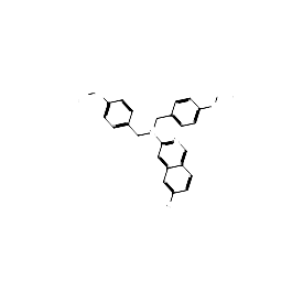 COc1ccc(CN(Cc2ccc(OC)cc2)c2cc3cc(N)ccc3cn2)cc1